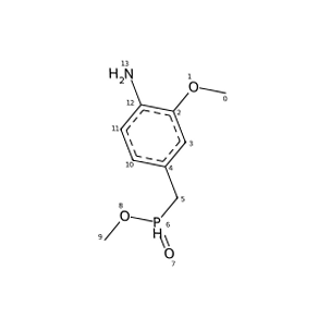 COc1cc(C[PH](=O)OC)ccc1N